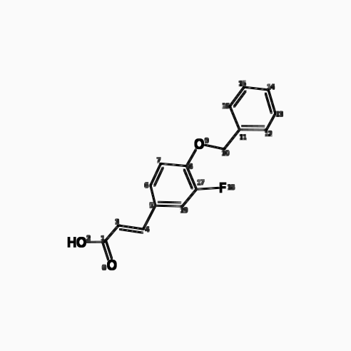 O=C(O)C=Cc1ccc(OCc2ccccc2)c(F)c1